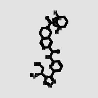 CC(CO)n1nnnc1-c1cccc(NC(=O)c2cc3c(cn2)CCN(C(=O)N2[C@@H]4CCC[C@H]2CC4)C3)n1